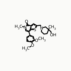 COc1ccc(-c2cn(C)c(=O)c3cc(CN4CCCC(C)(CO)C4)sc23)cc1OC